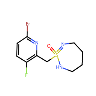 O=S1(Cc2nc(Br)ccc2F)=NCCCCN1